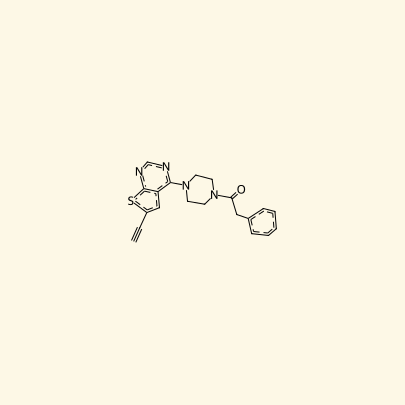 C#Cc1cc2c(N3CCN(C(=O)Cc4ccccc4)CC3)ncnc2s1